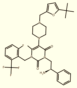 Cc1c(N2CCN(Cc3ccc(C(C)(C)C)o3)CC2)c(=O)n(C[C@H](N)c2ccccc2)c(=O)n1Cc1c(F)cccc1C(F)(F)F